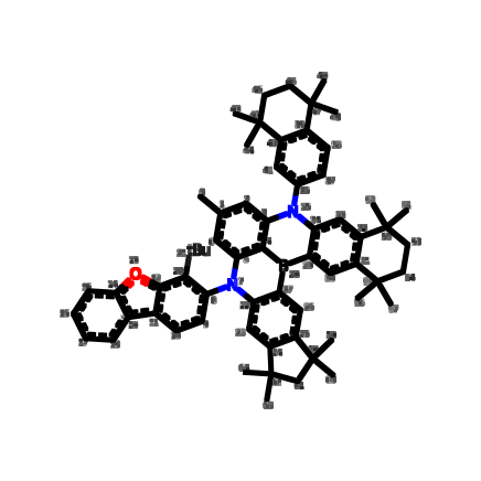 Cc1cc2c3c(c1)N(c1ccc4c(oc5ccccc54)c1C(C)(C)C)c1cc4c(cc1B3c1cc3c(cc1N2c1ccc2c(c1)C(C)(C)CCC2(C)C)C(C)(C)CCC3(C)C)C(C)(C)CC4(C)C